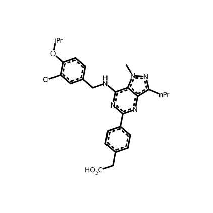 CCCc1nn(C)c2c(NCc3ccc(OC(C)C)c(Cl)c3)nc(-c3ccc(CC(=O)O)cc3)nc12